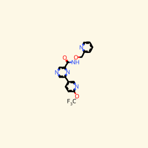 O=C(NOCc1ccccn1)c1cncc(-c2ccc(OC(F)(F)F)nc2)n1